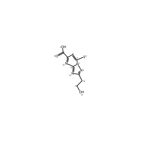 O=C(O)c1cc([S])n2nc(CCO)nc2n1